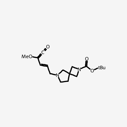 COC(=C=O)/C=C/CN1CCC2(C1)CN(C(=O)OC(C)(C)C)C2